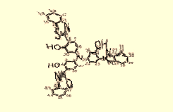 Oc1cc(N(c2ccc(-c3nc4ccccc4s3)c(O)c2)c2ccc(-n3nc4ccccc4n3)c(O)c2)ccc1-c1nc2ccccc2o1